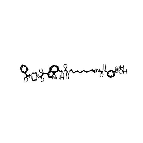 O=C(NCCCCCCCCNC(=O)Nc1cccc2c(C(=O)C(=O)N3CCN(C(=O)c4ccccc4)CC3)c[nH]c12)Nc1cccc(B(O)O)c1